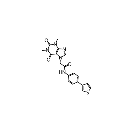 Cn1c(=O)c2c(ncn2CC(=O)Nc2ccc(-c3ccsc3)cc2)n(C)c1=O